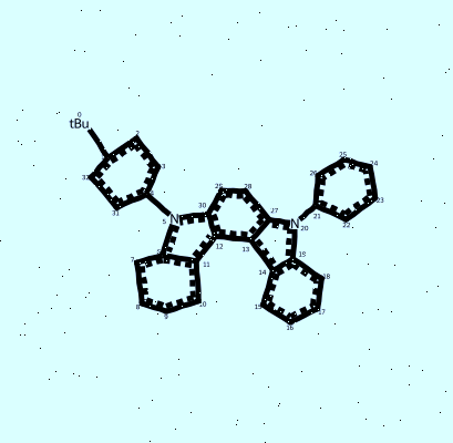 CC(C)(C)c1ccc(-n2c3ccccc3c3c4c5ccccc5n(-c5ccccc5)c4ccc32)cc1